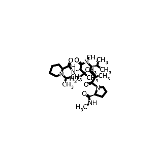 CNC(=O)[C@@H]1CCCN1C(=O)/C(C)=C/[C@H](C(C)C)N(C)C(=O)[C@@H](NC(=O)C1CCCCN1C(C)C)C(C)(C)C